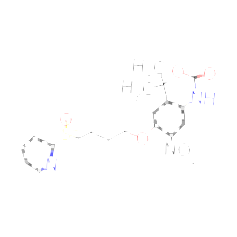 CC1(C)OC(=O)Nc2cc([N+](=O)[O-])c(OCCCC[S+]([O-])c3ccccn3)cc21